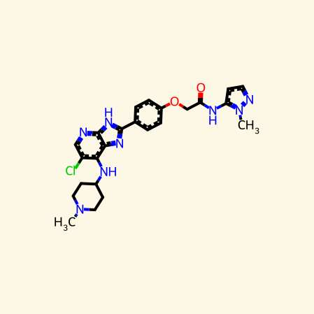 CN1CCC(Nc2c(Cl)cnc3[nH]c(-c4ccc(OCC(=O)Nc5ccnn5C)cc4)nc23)CC1